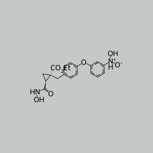 CCOC(=O)[C@@]1(Cc2ccc(Oc3cccc([NH+]([O-])O)c3)cc2)C[C@@H]1C(=O)NO